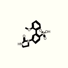 COc1ccccc1-c1cc(N2CCNC2=O)ccc1S(=O)(=O)O